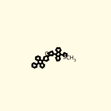 Cc1ccc(-c2c3ccccc3c(-c3ccc4oc5cc(-c6c7ccccc7c(-c7ccccc7)c7ccccc67)ccc5c4c3)c3ccccc23)s1